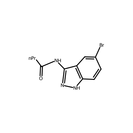 CCCC(=O)Nc1n[nH]c2ccc(Br)cc12